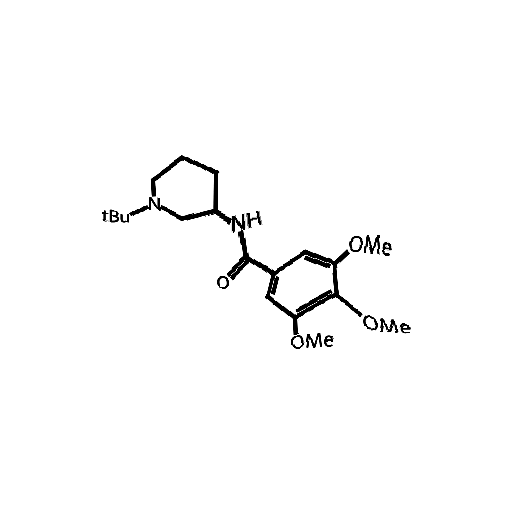 COc1cc(C(=O)NC2CCCN(C(C)(C)C)C2)cc(OC)c1OC